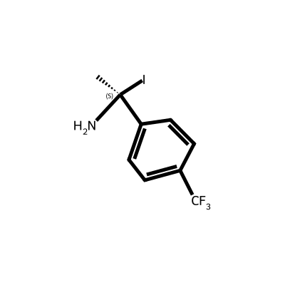 C[C@](N)(I)c1ccc(C(F)(F)F)cc1